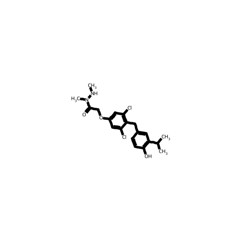 CNN(C)C(=O)COc1cc(Cl)c(Cc2ccc(O)c(C(C)C)c2)c(Cl)c1